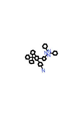 N#Cc1ccc(-c2cc3c(cc2-c2cccc(-c4nc(-c5ccccc5)nc(-c5ccccc5)n4)c2)-c2ccccc2C3(c2ccccc2)c2ccccc2)cc1